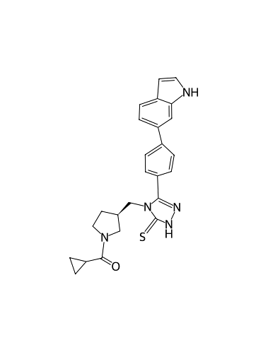 O=C(C1CC1)N1CC[C@@H](Cn2c(-c3ccc(-c4ccc5cc[nH]c5c4)cc3)n[nH]c2=S)C1